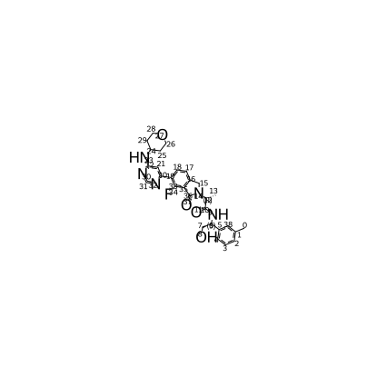 Cc1cccc([C@@H](CO)NC(=O)[C@@H](C)N2Cc3ccc(-c4cc(NC5CCOCC5)ncn4)c(F)c3C2=O)c1